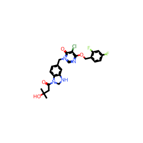 CC(C)(O)CC(=O)N1CNc2cc(Cn3cnc(OCc4ccc(F)cc4F)c(Cl)c3=O)ccc21